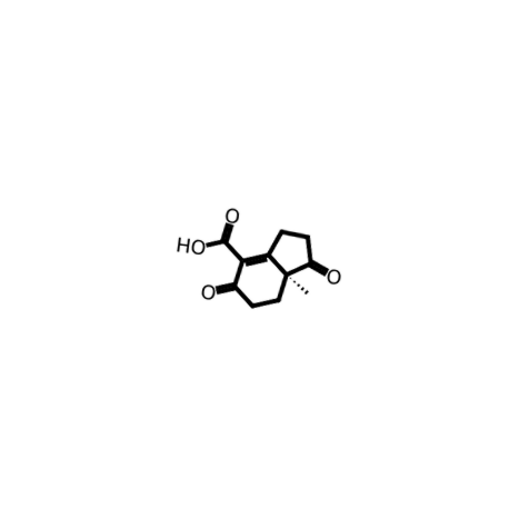 C[C@]12CCC(=O)C(C(=O)O)=C1CCC2=O